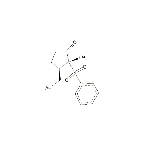 CC(=O)C[C@H]1CCC(=O)[C@]1(C)S(=O)(=O)c1ccccc1